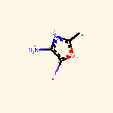 Cc1nc(N)c(I)o1